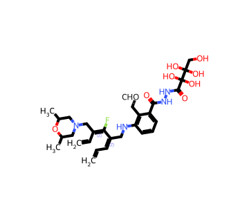 C=C/C=C(CNc1cccc(C(=O)NNC(=O)C(O)(O)C(O)(O)CO)c1CC=O)\C(F)=C(/C=C)CN1CC(C)OC(C)C1